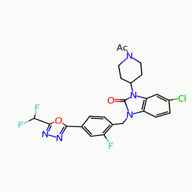 CC(=O)N1CCC(n2c(=O)n(Cc3ccc(-c4nnc(C(F)F)o4)cc3F)c3ccc(Cl)cc32)CC1